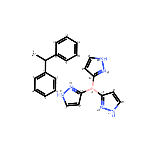 [Zr][CH](c1ccccc1)c1ccccc1.c1cc(B(c2cc[nH]n2)c2cc[nH]n2)n[nH]1